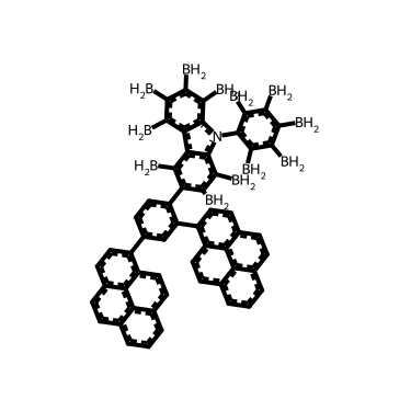 Bc1c(B)c(B)c(-n2c3c(B)c(B)c(B)c(B)c3c3c(B)c(-c4ccc(-c5ccc6ccc7cccc8ccc5c6c78)cc4-c4ccc5ccc6cccc7ccc4c5c67)c(B)c(B)c32)c(B)c1B